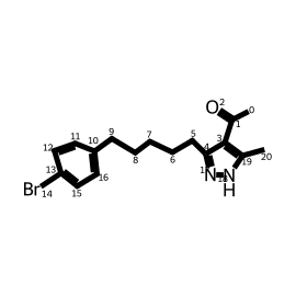 CC(=O)c1c(CCCCCc2ccc(Br)cc2)n[nH]c1C